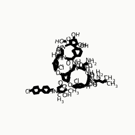 CC(C)C[C@H](N)C(=O)N[C@H]1C(=O)N[C@@H](CC(N)=O)C(=O)NC2C(=O)NC3C(=O)N[C@H](C(=O)N[C@H](C(=O)O)c4cc(O)cc(O)c4-c4cc3ccc4O)[C@H](O)c3ccc(c(Cl)c3)Oc3cc2cc(c3OC2C[C@](C)(NCc3ccc(-c4ccc(Cl)cc4)cc3)[C@H](O)[C@H](C)O2)Oc2ccc(cc2Cl)[C@H]1O